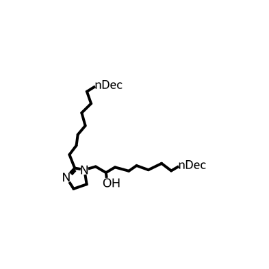 CCCCCCCCCCCCCCCCCC1=NCCN1CC(O)CCCCCCCCCCCCCCCC